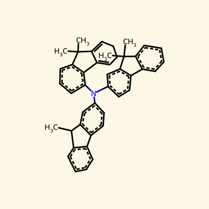 CC1c2ccccc2-c2ccc(N(c3ccc4c(c3)C(C)(C)c3ccccc3-4)c3cccc4c3C3=CCCC=C3C4(C)C)cc21